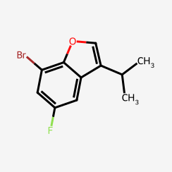 CC(C)c1coc2c(Br)cc(F)cc12